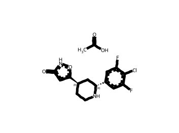 CC(=O)O.O=c1cc([C@@H]2CCN[C@@H](c3cc(F)c(Cl)c(F)c3)C2)o[nH]1